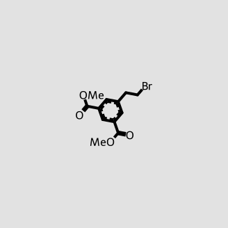 COC(=O)c1cc(CCBr)cc(C(=O)OC)c1